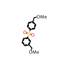 COCc1ccc(S(=O)(=O)c2cccc(COC)c2)cc1